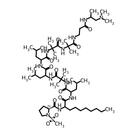 CCCCCCCCC(NC(=O)[C@@H]1CCCN1S(C)(=O)=O)C(=O)NC(CC(C)C)C(=O)NC(C)(C)C(=O)NC(CC(C)C)C(=O)NC(CC(C)C)C(=O)NC(C)(C)C(=O)NC(C)(C)C(=O)NCCC(=O)NC(C)CN(C)C